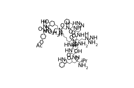 CC(=O)COc1ccc(-n2c(=O)[nH]n(-c3cc(CC(NC(=O)CNC(=O)C(Cc4ccccc4)NC(=O)C(Cc4c[nH]cn4)NC(=O)C(CCCNC(=N)N)NC(=O)C(CCCCN)NC(=O)C(CCC(N)=O)NC(=O)C(CO)NC(=O)C(CC(=O)C(N)C(C)C)Cc4c[nH]c5ccccc45)C(=O)O)ccc3O)c2=O)cc1